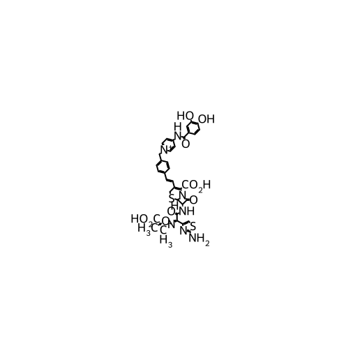 CC(C)(O/N=C(\C(=O)N[C@@H]1C(=O)N2C(C(=O)O)=C(/C=C/c3ccc(C[n+]4ccc(NC(=O)c5ccc(O)c(O)c5)cc4)cc3)CS[C@H]12)c1csc(N)n1)C(=O)O